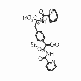 CCO[C@@H](NC(=O)c1ccccn1)C(=C=O)c1ccc(C[C@@H](NC(=O)c2ccccn2)C(=O)O)cc1